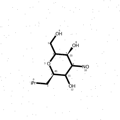 CC(C)C[C@H]1OC(CO)[C@@H](O)C(N=O)C1O